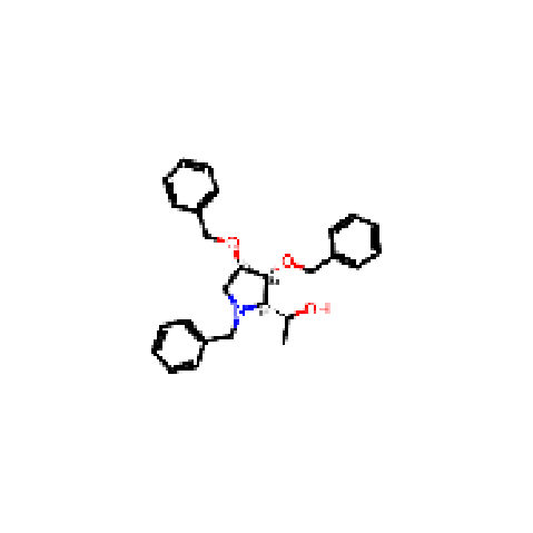 CC(O)[C@H]1[C@@H](OCc2ccccc2)[C@H](OCc2ccccc2)CN1Cc1ccccc1